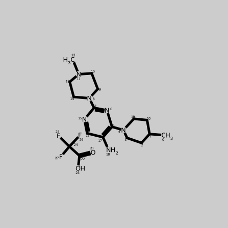 CC1CCN(c2nc(N3CCN(C)CC3)ncc2N)CC1.O=C(O)C(F)(F)F